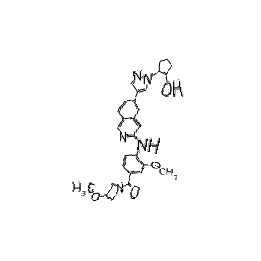 COc1cc(C(=O)N2CC(OC)C2)ccc1Nc1cc2cc(-c3cnn(C4CCCC4O)c3)ccc2cn1